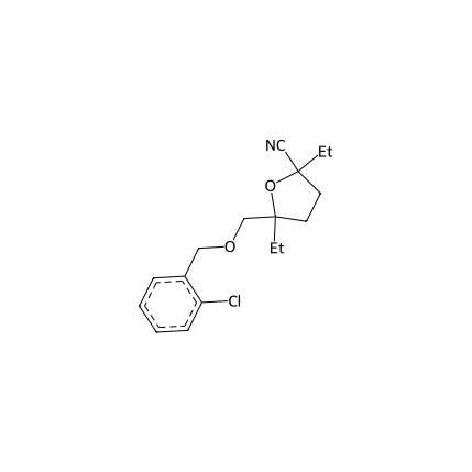 CCC1(C#N)CCC(CC)(COCc2ccccc2Cl)O1